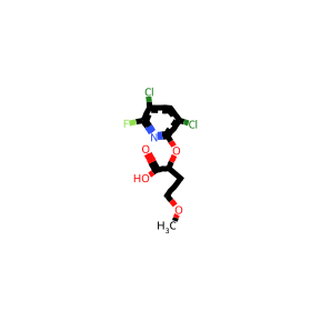 COCCC(Oc1nc(F)c(Cl)cc1Cl)C(=O)O